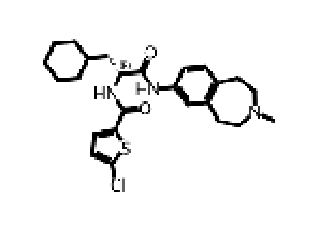 CN1CCc2ccc(NC(=O)[C@@H](CC3CCCCC3)NC(=O)c3ccc(Cl)s3)cc2CC1